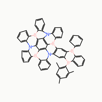 Cc1cc(C)c(B2c3ccccc3B(c3ccccc3)c3cc4c(cc32)N2c3ccccc3B3c5ccccc5N5c6ccccc6B6c7ccccc7N7c8ccccc8B4c4c7c6c5c3c42)c(C)c1